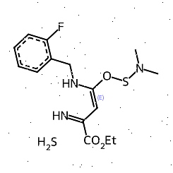 CCOC(=O)C(=N)/C=C(\NCc1ccccc1F)OSN(C)C.S